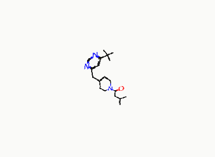 CC(C)CC(=O)N1CCC(Cc2cc(C(C)(C)C)ncn2)CC1